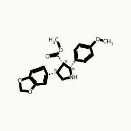 COC(=O)[C@H]1[C@@H](c2ccc3c(c2)OCO3)CN[C@H]1c1ccc(OC)cc1